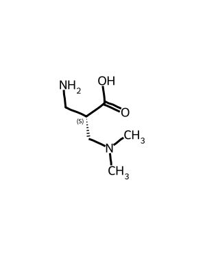 CN(C)C[C@H](CN)C(=O)O